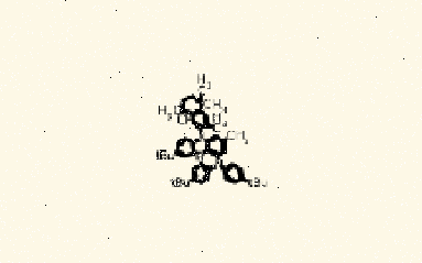 Cc1cc2c3c(c1)N(c1cc4c(cc1C)C(C)(C)CCC4(C)C)c1ccc(C(C)(C)C)cc1B3c1cc(C(C)(C)C)ccc1N2c1ccc(C(C)(C)C)cc1